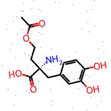 CC(=O)OCC[C@@](N)(Cc1ccc(O)c(O)c1)C(=O)O